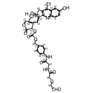 CCc1c2c(nc3ccc(O)cc13)/C(=C/C1=C(C=O)COC(=O)C1OC(=O)OCc1ccc(NC(=O)CNC(=O)COCC=O)cc1)N(C)C2